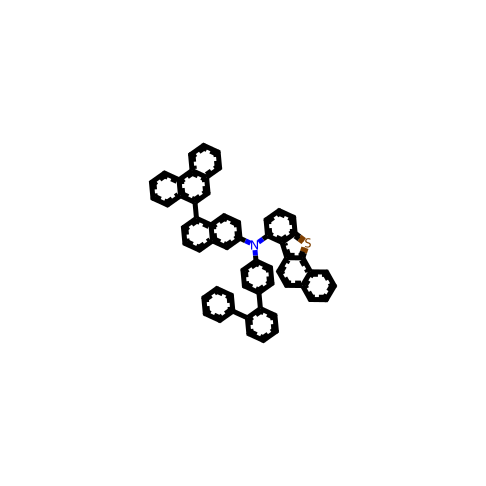 c1ccc(-c2ccccc2-c2ccc(N(c3ccc4c(-c5cc6ccccc6c6ccccc56)cccc4c3)c3cccc4sc5c6ccccc6ccc5c34)cc2)cc1